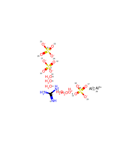 N=C(N)N.O.O.O.O.O.O.O=S(=O)([O-])[O-].O=S(=O)([O-])[O-].O=S(=O)([O-])[O-].[Al+3].[Al+3]